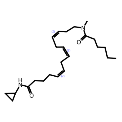 CCCCCC(=O)N(C)CC/C=C\C/C=C\C/C=C\CCCC(=O)NC1CC1